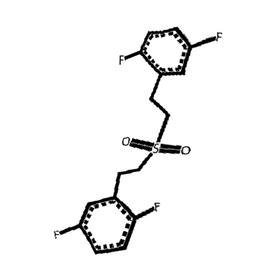 O=S(=O)(CCc1cc(F)ccc1F)CCc1cc(F)ccc1F